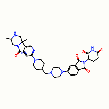 CC1CN(C(N)=O)C(C)(c2ccc(N3CCC(CN4CCN(c5ccc6c(c5)C(=O)N(C5CCC(=O)NC5=O)C6=O)CC4)CC3)nc2)CN1